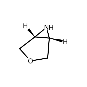 C1OC[C@H]2N[C@@H]12